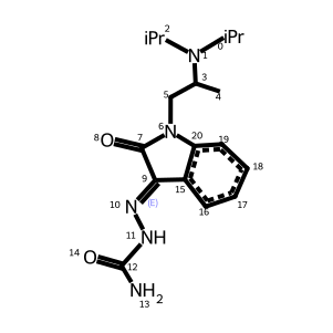 CC(C)N(C(C)C)C(C)CN1C(=O)/C(=N/NC(N)=O)c2ccccc21